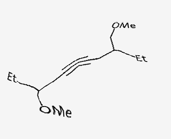 CCC(C#CC(CC)OC)OC